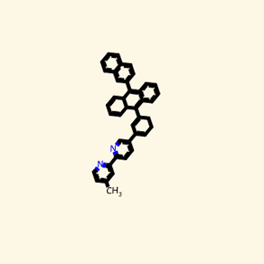 Cc1ccnc(-c2ccc(C3=CCCC(C4=c5ccccc5=C(c5ccc6ccccc6c5)C5C=CC=CC45)=C3)cn2)c1